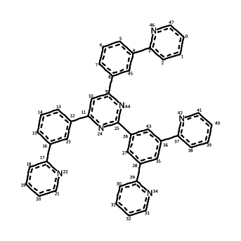 c1ccc(-c2cccc(-c3cc(-c4cccc(-c5ccccn5)c4)nc(-c4cc(-c5ccccn5)cc(-c5ccccn5)c4)n3)c2)nc1